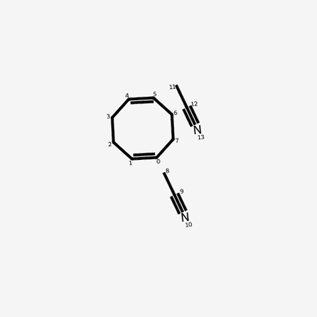 C1=CCCC=CCC1.CC#N.CC#N